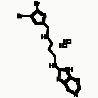 Brc1cc(CNCCCNc2nc3cncnc3[nH]2)sc1Br.Cl.Cl